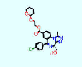 Cc1nnc2n1-c1ccc(C(=O)OCCOC3CCCCO3)cc1C(c1ccc(Cl)cc1)=N[C@H]2CO